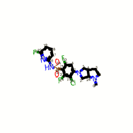 CN1CCC2CN(c3cc(F)c(S(=O)(=O)Nc4cccc(F)n4)c(F)c3Cl)CC21